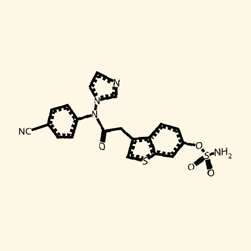 N#Cc1ccc(N(C(=O)Cc2csc3cc(OS(N)(=O)=O)ccc23)n2ccnc2)cc1